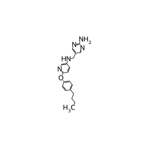 CCCCc1ccc(Oc2ccc(NCc3cnc(N)nc3)cn2)cc1